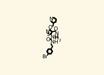 NC(=O)c1c(OCc2cccnc2)nsc1NC(=O)NCCc1ccc(Br)cc1